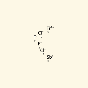 [Cl-].[Cl-].[F-].[F-].[Sb].[Ti+4]